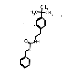 CC(C)(C)c1ccc(CCNC(=O)OCc2ccccc2)cc1